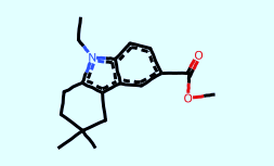 CCn1c2c(c3cc(C(=O)OC)ccc31)CC(C)(C)CC2